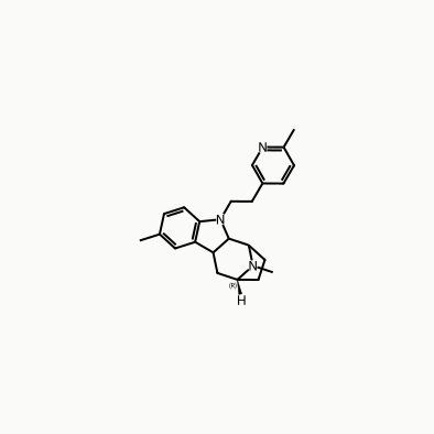 Cc1ccc2c(c1)C1C[C@H]3CCC(C1N2CCc1ccc(C)nc1)N3C